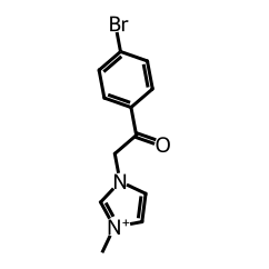 C[n+]1ccn(CC(=O)c2ccc(Br)cc2)c1